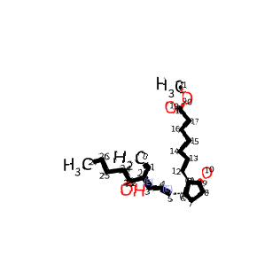 C=C/C(=C\C=C\[C@H]1CCC(=O)[C@@H]1CCCCCCC(=O)OC)C(O)CCCC